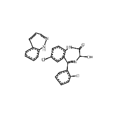 C1=Cc2ccccc2NN=C1.O=C1Nc2ccc(Cl)cc2C(c2ccccc2Cl)=NC1O